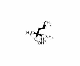 C=CCC(C)(C)OO.[SiH4]